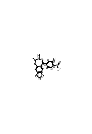 C[C@@H]1Cc2cc3c(cc2C(c2ccc([N+](=O)[O-])c(Cl)c2)=NN1)OCO3